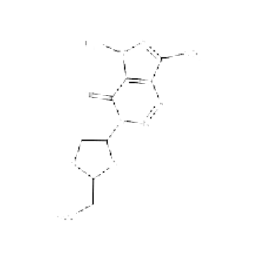 CC(=O)OCC1OC(n2nnc3c([N+](=O)[O-])nn(C)c3c2=O)CS1